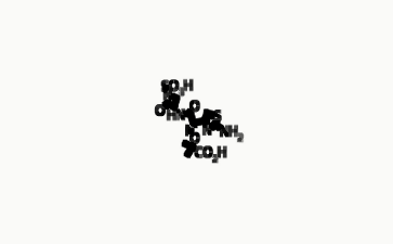 CC(C)(O/N=C(/C(=O)N[C@H]1CN(S(=O)(=O)O)C1=O)c1csc(N)n1)C(=O)O